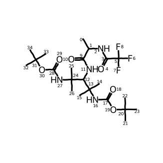 CC(NC(=O)C(F)(F)F)C(=O)NC(C(C)(C)NC(=O)OC(C)(C)C)C(C)(C)NC(=O)OC(C)(C)C